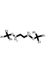 CCC(O[SiH2]CC[SiH2]OC(CC)(C(C)C)C(C)C)(C(C)C)C(C)C